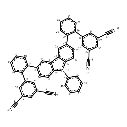 N#Cc1cc(C#N)cc(-c2ccccc2-c2ccc3c(c2)c2cc(-c4ccccc4-c4cc(C#N)cc(C#N)c4)ccc2n3-c2ccccc2)c1